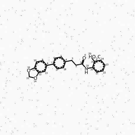 O=C(CCc1ccc(-c2ccc3c(c2)OCO3)cc1)Nc1ccccc1C(=O)O